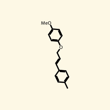 COc1ccc(OC/C=C/c2ccc(C)cc2)cc1